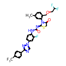 Cc1ccc(COCC(F)F)c(N2C(=O)CS/C2=N\C(=O)Nc2ccc(-n3cnc(-c4ccc(C(F)(F)F)cc4)n3)cc2F)c1